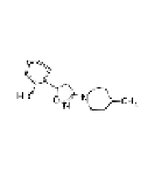 Cc1ccccc1C1CC(N2CCC(C)CC2)=NO1